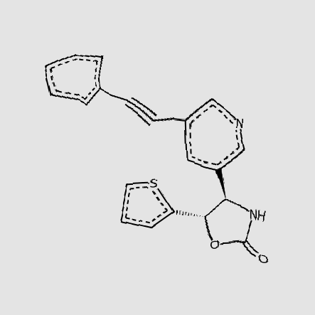 O=C1N[C@H](c2cncc(C#Cc3ccccc3)c2)[C@@H](c2cccs2)O1